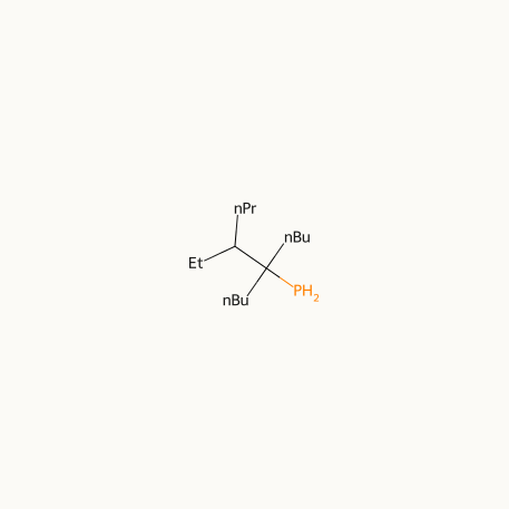 CCCCC(P)(CCCC)C(CC)CCC